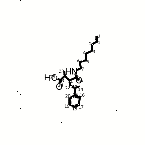 CCCCCCCCNC(=O)C(CC(C)c1ccccc1)C(C)C(=O)O